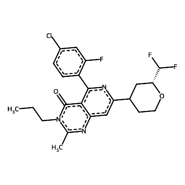 CCCn1c(C)nc2cc(C3CCO[C@@H](C(F)F)C3)nc(-c3ccc(Cl)cc3F)c2c1=O